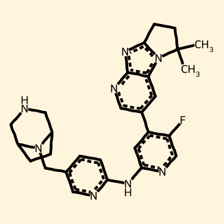 CC1(C)CCc2nc3ncc(-c4cc(Nc5ccc(CN6C7CCC6CNC7)cn5)ncc4F)cc3n21